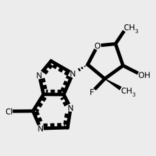 CC1O[C@@H](n2cnc3c(Cl)ncnc32)[C@@](C)(F)C1O